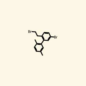 Cc1ccc(C)c(-c2cc(Br)ccc2CCBr)c1